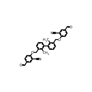 Cc1c(COc2ccc(C=O)cc2C#N)cccc1-c1cccc(COc2ccc(C=O)cc2C#N)c1C